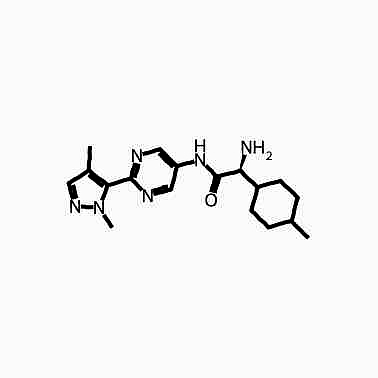 Cc1cnn(C)c1-c1ncc(NC(=O)[C@@H](N)C2CCC(C)CC2)cn1